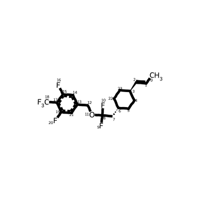 CC=C[C@H]1CC[C@H](CC(F)(F)OCc2cc(F)c(C(F)(F)F)c(F)c2)CC1